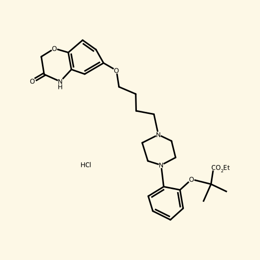 CCOC(=O)C(C)(C)Oc1ccccc1N1CCN(CCCCOc2ccc3c(c2)NC(=O)CO3)CC1.Cl